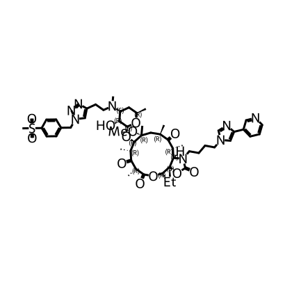 CC[C@H]1OC(=O)[C@H](C)C(=O)[C@H](C)[C@@H](O[C@@H]2O[C@H](C)C[C@H](N(C)CCc3cn(Cc4ccc(S(C)(=O)=O)cc4)nn3)[C@H]2O)[C@](C)(OC)C[C@@H](C)C(=O)[C@H](C)[C@H]2N(CCCCn3cnc(-c4cccnc4)c3)C(=O)O[C@]12C